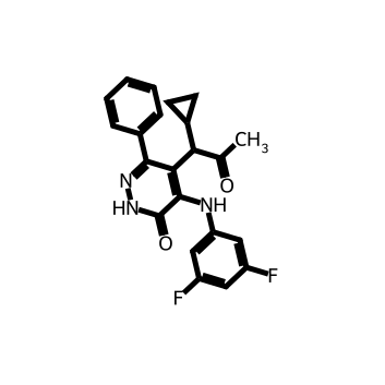 CC(=O)C(c1c(-c2ccccc2)n[nH]c(=O)c1Nc1cc(F)cc(F)c1)C1CC1